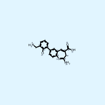 NCc1cccc(-c2ccc3c(c2)C=C(C(=O)O)CC(N)=N3)c1Cl